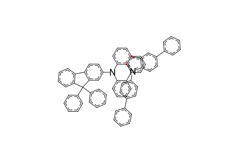 c1ccc(-c2ccc(-n3c4ccc(-c5ccccc5)cc4c4cccc(N(c5ccc6c(c5)C(c5ccccc5)(c5ccccc5)c5ccccc5-6)c5ccccc5-c5ccccc5)c43)cc2)cc1